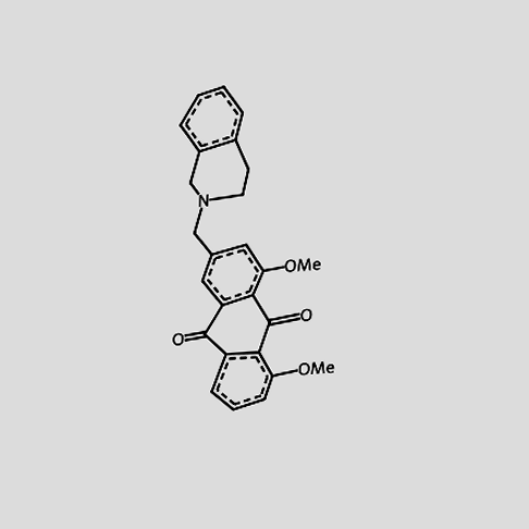 COc1cccc2c1C(=O)c1c(OC)cc(CN3CCc4ccccc4C3)cc1C2=O